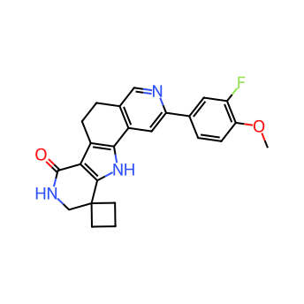 COc1ccc(-c2cc3c(cn2)CCc2c-3[nH]c3c2C(=O)NCC32CCC2)cc1F